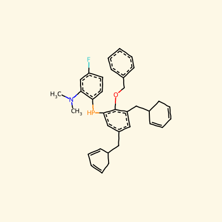 CN(C)c1cc(F)ccc1Pc1cc(CC2C=CC=CC2)cc(CC2C=CC=CC2)c1OCc1ccccc1